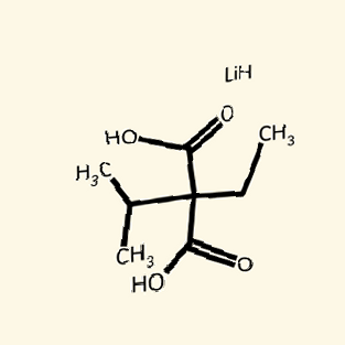 CCC(C(=O)O)(C(=O)O)C(C)C.[LiH]